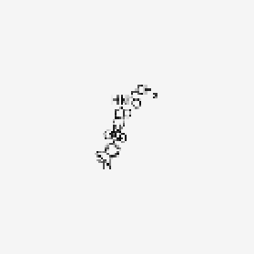 C=CC(=O)NC1CC2CN(S(=O)(=O)c3ccc4ncsc4c3)CC2O1